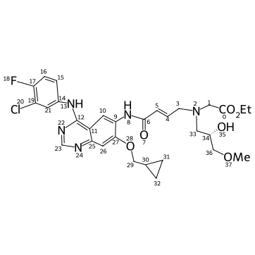 CCOC(=O)CN(CC=CC(=O)Nc1cc2c(Nc3ccc(F)c(Cl)c3)ncnc2cc1OCC1CC1)C[C@H](O)COC